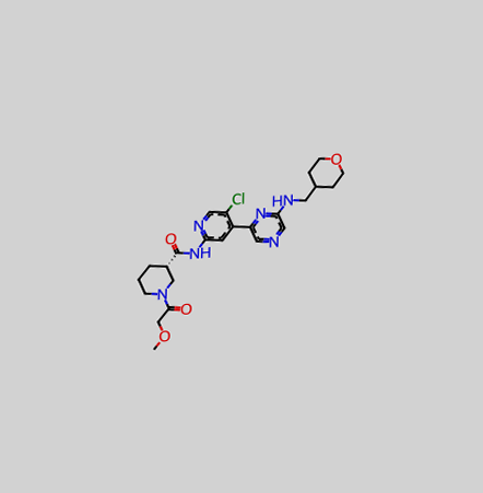 COCC(=O)N1CCC[C@H](C(=O)Nc2cc(-c3cncc(NCC4CCOCC4)n3)c(Cl)cn2)C1